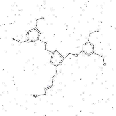 CC/C=C/COc1cc(COc2cc(CCl)cc(CCl)c2)cc(COc2cc(CCl)cc(CCl)c2)c1